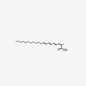 CCCCCCCCCCCC=CC=CC=CC=C(C)C(=O)O